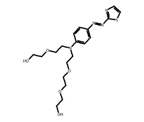 OCCOCCOCCN(CCOCCO)c1ccc(/N=N/c2nccs2)cc1